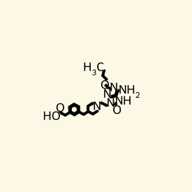 CCCCOc1nc(N)c2[nH]c(=O)n(CCN3CCC(Cc4cccc(CC(=O)O)c4)CC3)c2n1